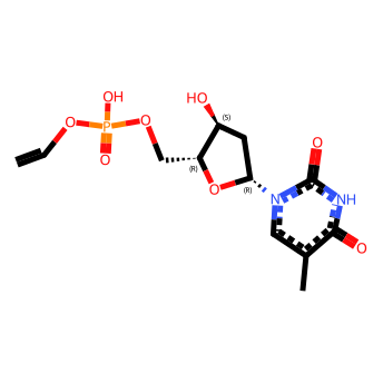 C=COP(=O)(O)OC[C@H]1O[C@@H](n2cc(C)c(=O)[nH]c2=O)C[C@@H]1O